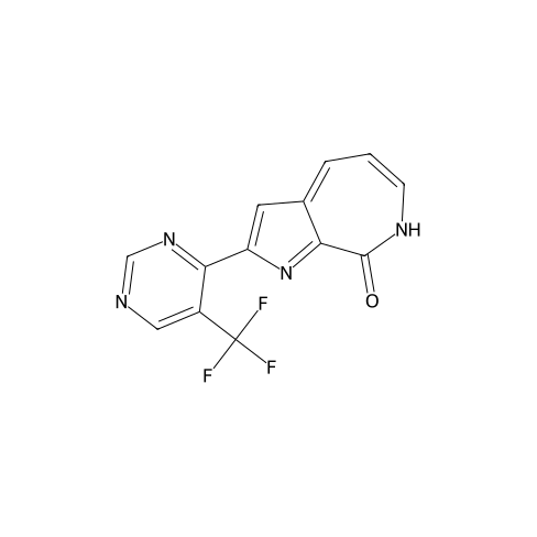 O=c1[nH]cccc2cc(-c3ncncc3C(F)(F)F)nc1-2